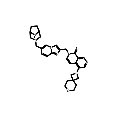 CN1C2CCC1CN(Cc1ccc3nc(Cn4ccc5c(N6CC7(CCOCC7)C6)cncc5c4=O)cn3c1)C2